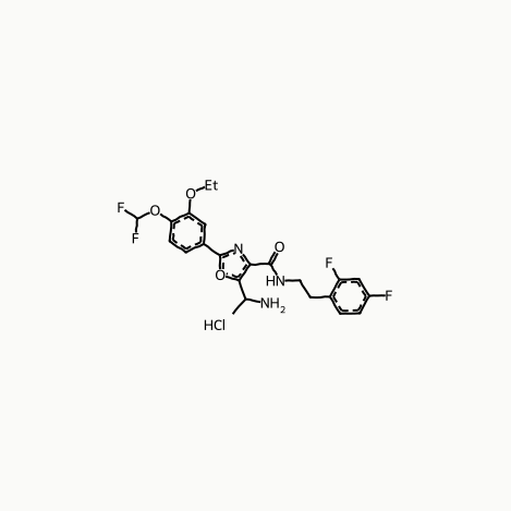 CCOc1cc(-c2nc(C(=O)NCCc3ccc(F)cc3F)c(C(C)N)o2)ccc1OC(F)F.Cl